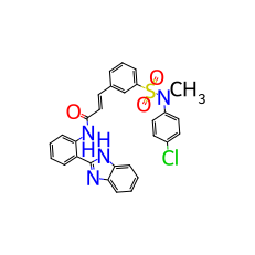 CN(c1ccc(Cl)cc1)S(=O)(=O)c1cccc(/C=C/C(=O)Nc2ccccc2-c2nc3ccccc3[nH]2)c1